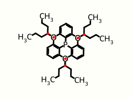 CCCCOc1cccc(OCCCC)c1P(c1c(OCCCC)cccc1OCCCC)c1c(OCCCC)cccc1OCCCC